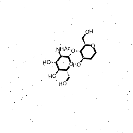 CC(=O)N[C@H]1[C@H](O[C@H]2[C@H](O)CCO[C@@H]2CO)O[C@H](CO)[C@@H](O)[C@@H]1O